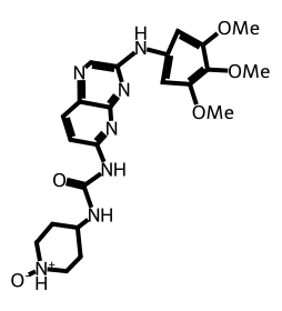 COc1cc(Nc2cnc3ccc(NC(=O)NC4CC[NH+]([O-])CC4)nc3n2)cc(OC)c1OC